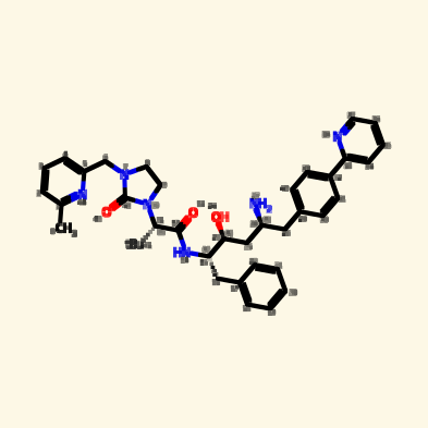 Cc1cccc(CN2CCN([C@H](C(=O)N[C@@H](Cc3ccccc3)[C@@H](O)C[C@@H](N)Cc3ccc(-c4ccccn4)cc3)C(C)(C)C)C2=O)n1